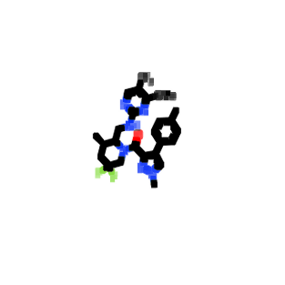 COc1nc(NCC2[C@H](C)CC(F)(F)CN2C(=O)c2nn(C)cc2-c2ccc(C)cc2)ncc1C(F)(F)F